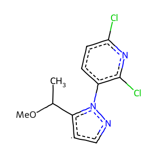 COC(C)c1[c]cnn1-c1ccc(Cl)nc1Cl